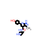 Cc1n[nH]c2nc(-c3ccc(O)cc3)cc(C(=O)N[C@@]34CNCC3C4)c12